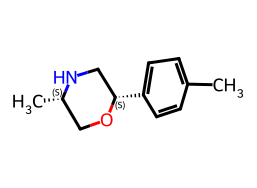 Cc1ccc([C@H]2CN[C@@H](C)CO2)cc1